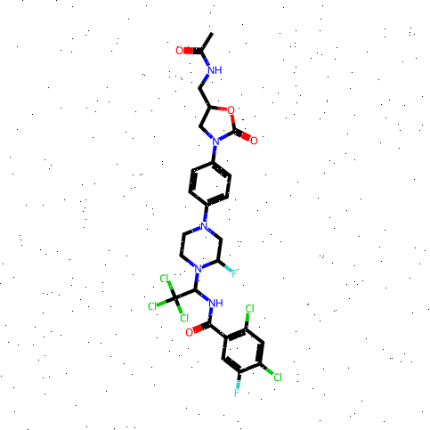 CC(=O)NCC1CN(c2ccc(N3CCN(C(NC(=O)c4cc(F)c(Cl)cc4Cl)C(Cl)(Cl)Cl)C(F)C3)cc2)C(=O)O1